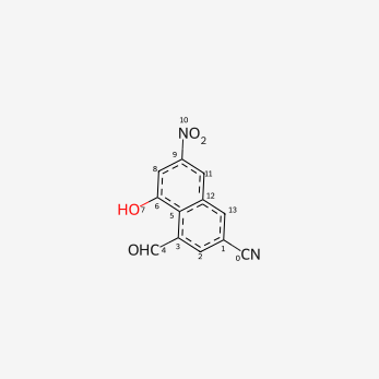 N#Cc1cc(C=O)c2c(O)cc([N+](=O)[O-])cc2c1